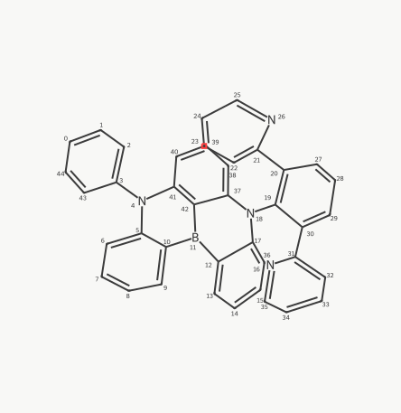 c1ccc(N2c3ccccc3B3c4ccccc4N(c4c(-c5ccccn5)cccc4-c4ccccn4)c4cccc2c43)cc1